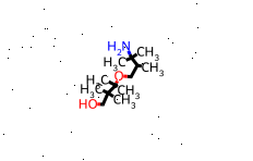 CC(COC(C)(C)C(C)(C)CO)C(C)(C)N